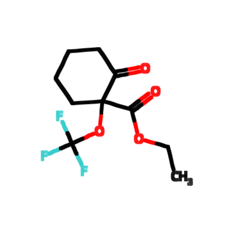 CCOC(=O)C1(OC(F)(F)F)CCCCC1=O